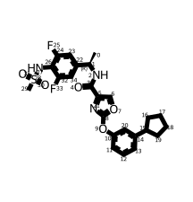 C[C@@H](NC(=O)c1coc(Oc2cccc(C3CCCC3)c2)n1)c1cc(F)c(NS(C)(=O)=O)c(F)c1